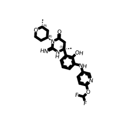 C[C@@H]1C[C@H](N2C(=N)N[C@](C)(c3cccc(Nc4ccc(OC(F)F)nc4)c3O)CC2=O)CCO1